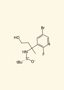 CC(CCO)(N[S@+]([O-])C(C)(C)C)c1cc(Br)cnc1F